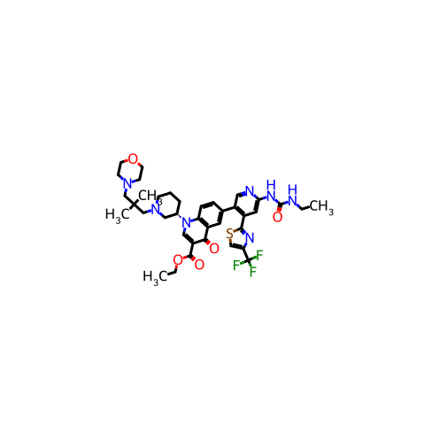 CCNC(=O)Nc1cc(-c2nc(C(F)(F)F)cs2)c(-c2ccc3c(c2)c(=O)c(C(=O)OCC)cn3[C@H]2CCCN(CC(C)(C)CN3CCOCC3)C2)cn1